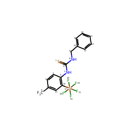 FC(F)(F)c1ccc(NC(=S)NCc2ccccc2)c(S(F)(F)(F)(F)F)c1